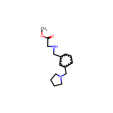 COC(=O)CNCc1cccc(CN2CCCC2)c1